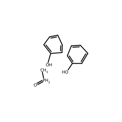 C[PH2]=O.Oc1ccccc1.Oc1ccccc1